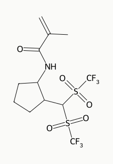 C=C(C)C(=O)NC1CCCC1C(S(=O)(=O)C(F)(F)F)S(=O)(=O)C(F)(F)F